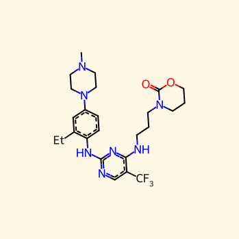 CCc1cc(N2CCN(C)CC2)ccc1Nc1ncc(C(F)(F)F)c(NCCCN2CCCOC2=O)n1